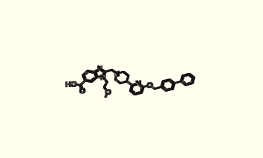 COCCn1c(CN2CCC(c3cccc(OCc4ccc(-c5ccccc5)cc4)n3)CC2)nc2ccc(C(=O)O)cc21